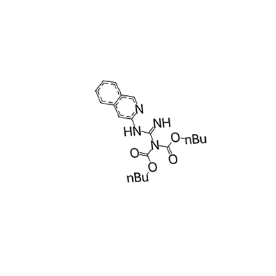 CCCCOC(=O)N(C(=N)Nc1cc2ccccc2cn1)C(=O)OCCCC